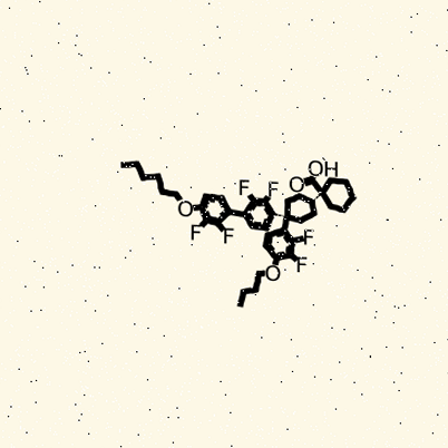 CCCCCCOc1ccc(-c2ccc([C@]3(c4ccc(OCCCC)c(F)c4F)CC[C@H](C4(C(=O)O)CCCCC4)CC3)c(F)c2F)c(F)c1F